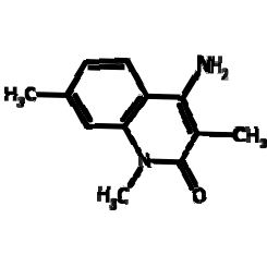 Cc1ccc2c(N)c(C)c(=O)n(C)c2c1